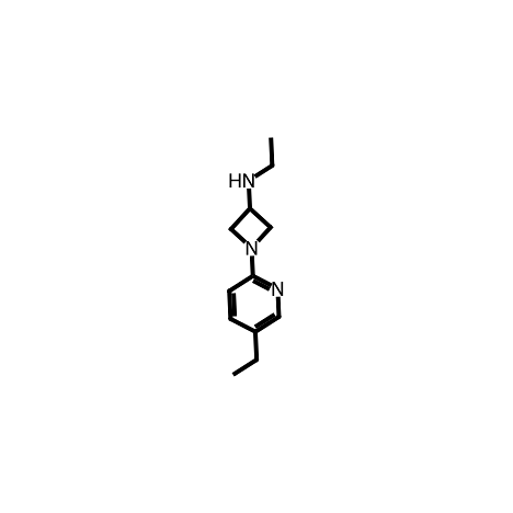 CCNC1CN(c2ccc(CC)cn2)C1